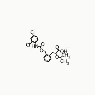 CC(C)OC(Cc1ccccc1COC(=O)Nc1ccc(Cl)cc1Cl)C(=O)O